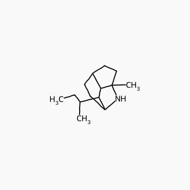 CCC(C)C1C2CCC3CCC(C)(N2)C31